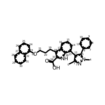 Cc1nn(C)c(-c2ccccc2)c1-c1cccc2c(CCCOc3cccc4ccccc34)c(C(=O)O)[nH]c12